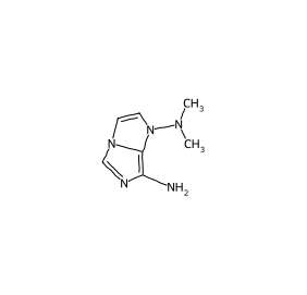 CN(C)n1ccn2cnc(N)c12